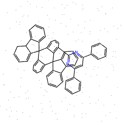 C1=CCC2C(=C1)C1(c3ccccc32)c2ccccc2C2(c3ccccc3-c3ccccc32)c2c(-c3nc(-c4ccccc4)cc(-c4ccccc4)n3)cccc21